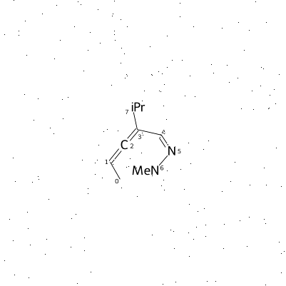 CC=C=C(/C=N\NC)C(C)C